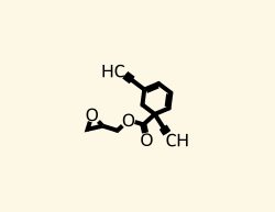 C#CC1=CC=CC(C#C)(C(=O)OCC2CO2)C1